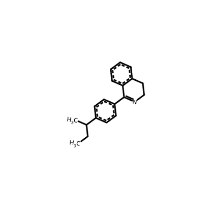 CCC(C)c1ccc(C2=NCCc3ccccc32)cc1